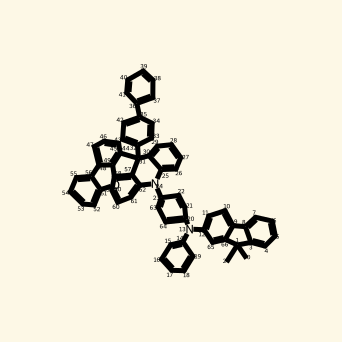 CC1(C)c2ccccc2-c2ccc(N(c3ccccc3)c3ccc(N4c5ccccc5C(c5ccc(-c6ccccc6)cc5)(c5cccc6c5oc5ccccc56)c5ccccc54)cc3)cc21